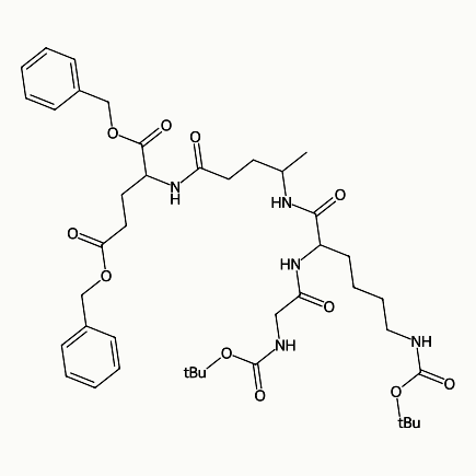 CC(CCC(=O)NC(CCC(=O)OCc1ccccc1)C(=O)OCc1ccccc1)NC(=O)C(CCCCNC(=O)OC(C)(C)C)NC(=O)CNC(=O)OC(C)(C)C